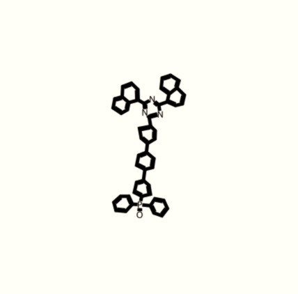 O=P(c1ccccc1)(c1ccccc1)c1ccc(-c2ccc(-c3ccc(-c4nc(-c5cccc6ccccc56)nc(-c5cccc6ccccc56)n4)cc3)cc2)cc1